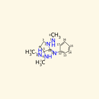 CNN1CCC(NC)(NC)C1=Nc1c[c]ccc1